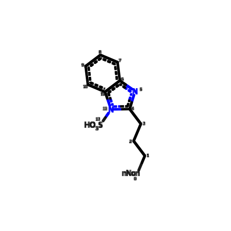 CCCCCCCCCCCCc1nc2ccccc2n1S(=O)(=O)O